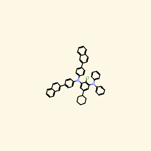 Clc1c(N(c2ccccc2)c2ccccc2)cc(C2CCCCC2)cc1N(c1ccc(-c2ccc3ccccc3c2)cc1)c1ccc(-c2ccc3ccccc3c2)cc1